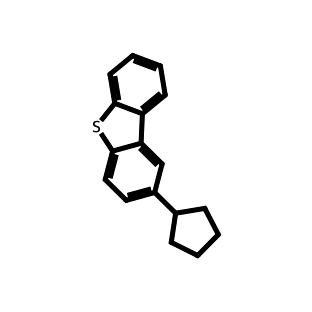 c1ccc2c(c1)sc1ccc(C3CCCC3)cc12